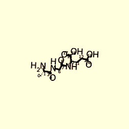 C[C@H](N)C(=O)NCC(=O)N[C@H](CCC(=O)O)C(=O)O